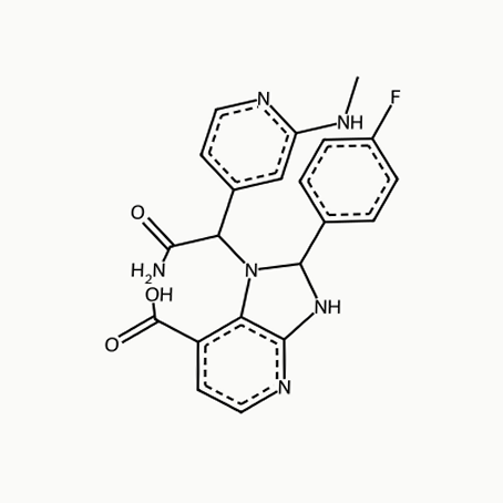 CNc1cc(C(C(N)=O)N2c3c(C(=O)O)ccnc3NC2c2ccc(F)cc2)ccn1